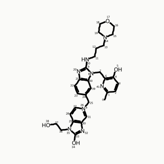 Cc1ccc(O)c(Cn2c(NCCCN3CCOCC3)nc3ccc(C[n+]4ccc5c(c4)nc(O)n5CCO)cc32)n1